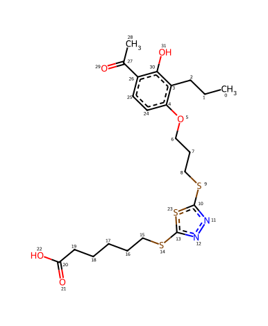 CCCc1c(OCCCSc2nnc(SCCCCCC(=O)O)s2)ccc(C(C)=O)c1O